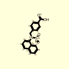 O=C(O)c1ccc(CN(c2cccc3ccccc23)[SH](=O)=O)cc1